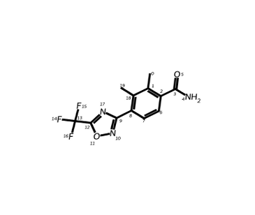 Cc1c(C(N)=O)ccc(-c2noc(C(F)(F)F)n2)c1C